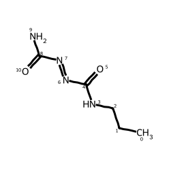 CCCNC(=O)N=NC(N)=O